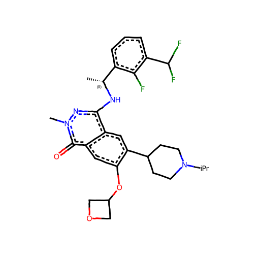 CC(C)N1CCC(c2cc3c(N[C@H](C)c4cccc(C(F)F)c4F)nn(C)c(=O)c3cc2OC2COC2)CC1